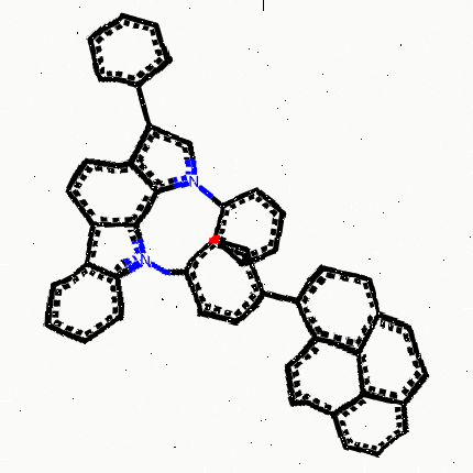 c1ccc(-c2cn(-c3ccccc3)c3c2ccc2c4ccccc4n(-c4ccc(-c5ccc6ccc7cccc8ccc5c6c78)cc4)c23)cc1